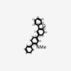 CNC1=C(C2=CC=CCC2)CCC(C2=CC3=C(CC2)OC2C=CC=CC32)=C1